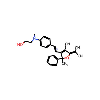 CN(CCO)c1ccc(/C=C/C2=C(C#N)C(=C(C#N)C#N)OC2(c2ccccc2)C(F)(F)F)cc1